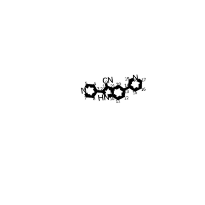 N#Cc1c(-c2ccncc2)[nH]c2ccc(-c3cccnc3)cc12